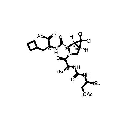 CC(=O)OCC(NC(=O)N[C@H](C(=O)N1C[C@H]2[C@@H]([C@H]1C(=O)N[C@@H](CC1CCC1)C(=O)C(C)=O)C2(Cl)Cl)C(C)(C)C)C(C)(C)C